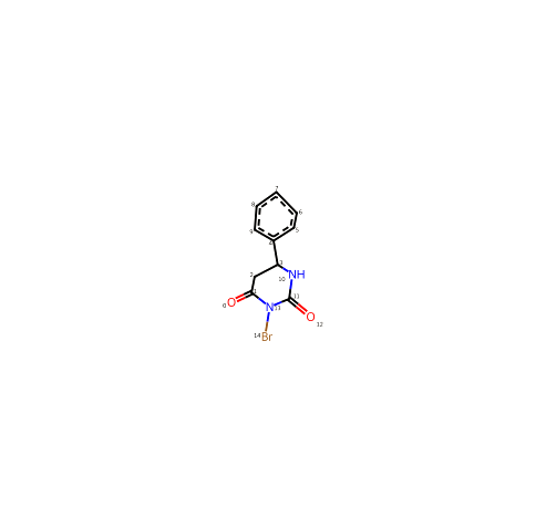 O=C1CC(c2ccccc2)NC(=O)N1Br